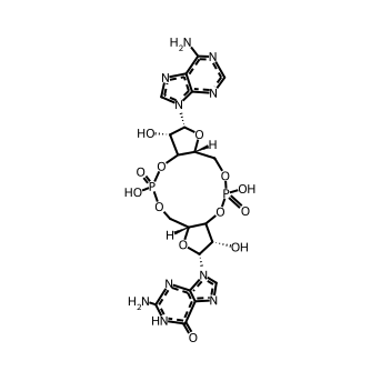 Nc1nc2c(ncn2[C@@H]2O[C@@H]3COP(=O)(O)OC4[C@@H](COP(=O)(O)OC3[C@@H]2O)O[C@@H](n2cnc3c(N)ncnc32)[C@H]4O)c(=O)[nH]1